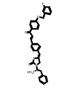 O=C(/C=C/c1ccc(/C=C2/CN([C@@H](Cc3ccccc3)C(=O)O)C(=S)S2)cc1)c1ccc(OCc2cccc(F)c2)cc1